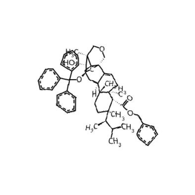 CC(C)[C@@H](C)[C@@]1(C)CC[C@]2(C)[C@H]3CCC4[C@@]5(COC[C@]4(C)[C@@H](O)[C@H](OC(c4ccccc4)(c4ccccc4)c4ccccc4)C5)C3=CC[C@@]2(C)[C@@H]1C(=O)OCc1ccccc1